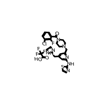 O=C(O)C(F)(F)F.O=C(c1cccc(Cl)c1F)N1CCN(Cc2cc(Cn3nccn3)cc(Nc3nccs3)n2)CC1